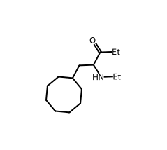 CCNC(CC1CCCCCCC1)C(=O)CC